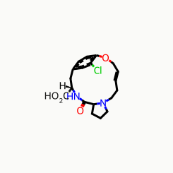 O=C1N[C@H](C(=O)O)Cc2ccc(c(Cl)c2)OC/C=C/CCN2CCCC12